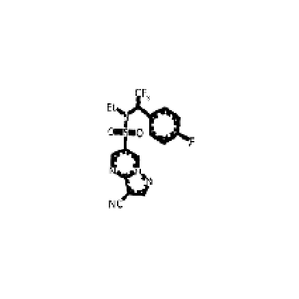 CCN(C(c1ccc(F)cc1)C(F)(F)F)S(=O)(=O)c1cnc2c(C#N)cnn2c1